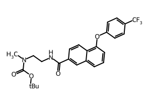 CN(CCNC(=O)c1ccc2c(Oc3ccc(C(F)(F)F)cc3)cccc2c1)C(=O)OC(C)(C)C